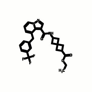 CCOC(=O)C1CC2(CC(NC(=O)c3cnn4cccc(Cc5cccc(C(F)(F)F)c5)c34)C2)C1